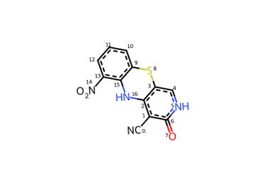 N#Cc1c2c(c[nH]c1=O)Sc1cccc([N+](=O)[O-])c1N2